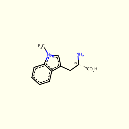 N[C@@H](Cc1cn(C(F)(F)F)c2ccccc12)C(=O)O